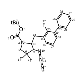 CC(C)(C)OC(=O)N1CC(F)(F)C(N=[N+]=[N-])C1Cc1cccc(-c2ccccc2)c1F